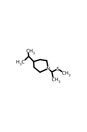 CSC(C)N1CCC(C(C)C)CC1